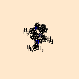 Cc1ccc2c(c1)c1cc(C3(c4ccc(N(c5ccc(C(C)(C)C)cc5)c5ccc(C6(c7ccc8c(c7)c7ccccc7n8-c7ccc(C(C)(C)C)cc7)c7ccccc7-c7ccccc76)cc5)cc4)c4ccccc4-c4ccccc43)ccc1n2-c1ccc(C(C)(C)C)cc1